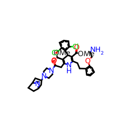 COC(=O)C1=C(CCc2ccccc2OCCN)NC(CC(=O)N2CCN(C3CC4CCC(C3)N4C)CC2)=C(C(=O)OC)C1c1c(Cl)cccc1Cl